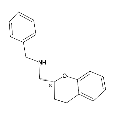 c1ccc(CNC[C@H]2CCc3ccccc3O2)cc1